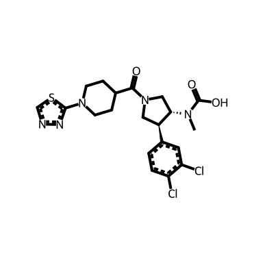 CN(C(=O)O)[C@H]1CN(C(=O)C2CCN(c3nncs3)CC2)C[C@@H]1c1ccc(Cl)c(Cl)c1